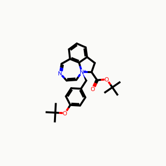 CC(C)(C)OC(=O)C1Cc2cccc3c2[N@@+]1(Cc1ccc(OC(C)(C)C)cc1)C=CN=C3